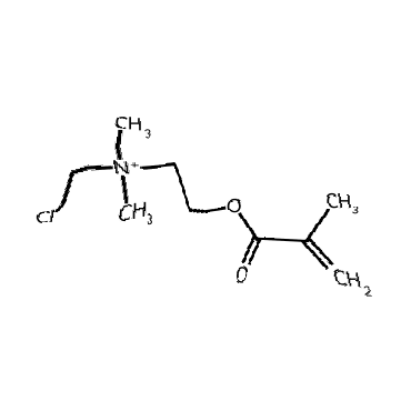 C=C(C)C(=O)OCC[N+](C)(C)CCl